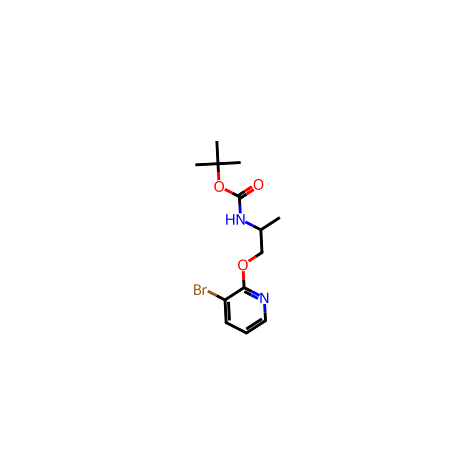 CC(COc1ncccc1Br)NC(=O)OC(C)(C)C